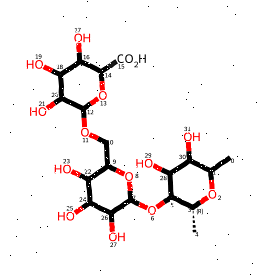 CC1O[C@H](C)C(OC2OC(COC3OC(C(=O)O)C(O)C(O)C3O)C(O)C(O)C2O)C(O)C1O